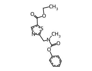 CCOC(=O)c1cnc(CN(C)C(=O)Oc2ccccc2)s1